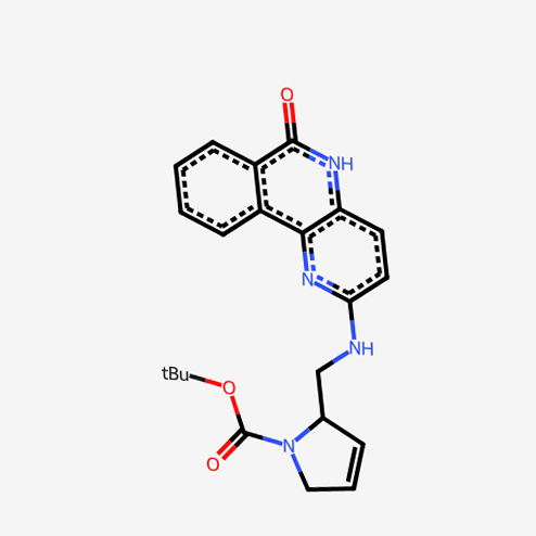 CC(C)(C)OC(=O)N1CC=CC1CNc1ccc2[nH]c(=O)c3ccccc3c2n1